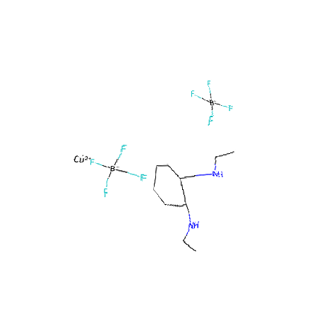 CCNC1CCCCC1NCC.F[B-](F)(F)F.F[B-](F)(F)F.[Cu+2]